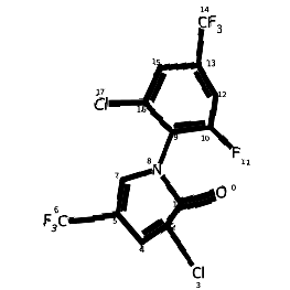 O=c1c(Cl)cc(C(F)(F)F)cn1-c1c(F)cc(C(F)(F)F)cc1Cl